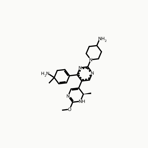 COC1=NC=C(c2cnc(N3CCC(N)CC3)nc2C2=CCC(C)(N)C=C2)[C@@H](C)N1